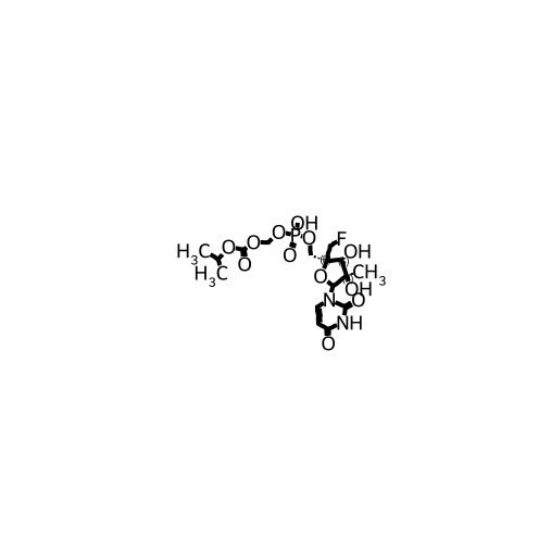 CC(C)OC(=O)OCOP(=O)(O)OC[C@@]1(CF)OC(n2ccc(=O)[nH]c2=O)[C@](C)(O)[C@@H]1O